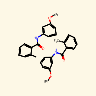 CC(C)Oc1cccc(NC(=O)c2ccccc2C(F)(F)F)c1.Cc1ccccc1C(=O)Nc1cccc(OC(C)C)c1